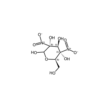 O=[N+]([O-])[C@@]1(O)[C@@H](CO)OC(O)[C@@](O)([N+](=O)[O-])[C@H]1O